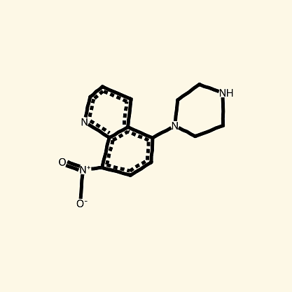 O=[N+]([O-])c1ccc(N2CCNCC2)c2cccnc12